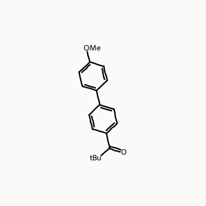 COc1ccc(-c2ccc(C(=O)C(C)(C)C)cc2)cc1